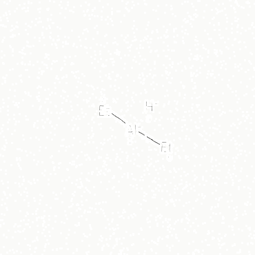 C[CH2][Al+][CH2]C.[H-]